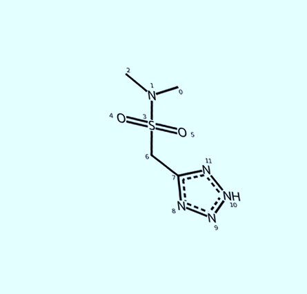 CN(C)S(=O)(=O)Cc1nn[nH]n1